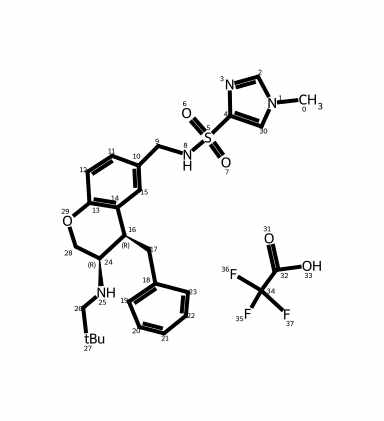 Cn1cnc(S(=O)(=O)NCc2ccc3c(c2)[C@@H](Cc2ccccc2)[C@@H](NCC(C)(C)C)CO3)c1.O=C(O)C(F)(F)F